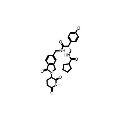 O=C1CCC(N2Cc3cc(CNC(=O)[C@@H](CNC(=O)C4CCCC4)c4ccc(Cl)cc4)ccc3C2=O)C(=O)N1